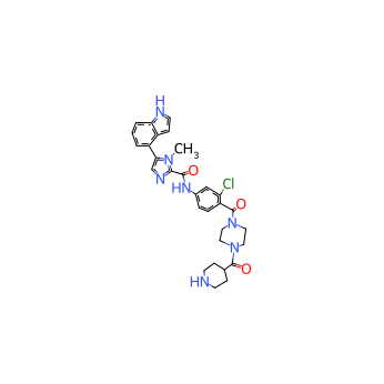 Cn1c(-c2cccc3[nH]ccc23)cnc1C(=O)Nc1ccc(C(=O)N2CCN(C(=O)C3CCNCC3)CC2)c(Cl)c1